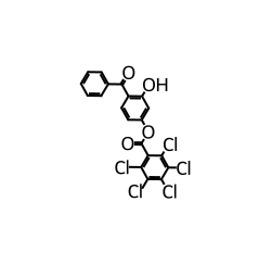 O=C(c1ccccc1)c1ccc(OC(=O)c2c(Cl)c(Cl)c(Cl)c(Cl)c2Cl)cc1O